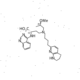 CO[C@H](C)CN(CCCCc1ccc2c(n1)NCCC2)CC[C@H](Nc1ncnc2ccccc12)C(=O)O